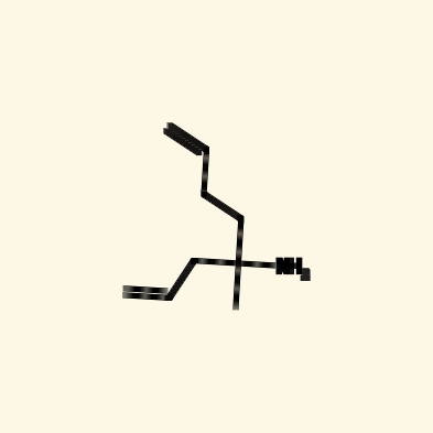 C=CCCC(C)(N)CC=C